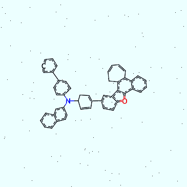 C1=CCc2c(c3ccccc3c3oc4ccc(C5=CCC(N(c6ccc(-c7ccccc7)cc6)c6ccc7ccccc7c6)C=C5)cc4c23)C=C1